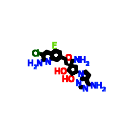 NC(=O)[C@]1(CCc2cc(F)c3cc(Cl)c(N)nc3c2)C[C@@H](n2ccc3c(N)ncnc32)[C@H](O)[C@@H]1O